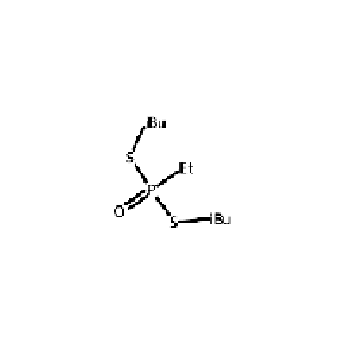 CCC(C)SP(=O)(CC)SC(C)CC